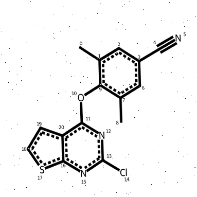 Cc1cc(C#N)cc(C)c1Oc1nc(Cl)nc2sccc12